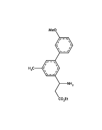 CCOC(=O)CC(N)c1cc(C)cc(-c2cccc(OC)c2)c1